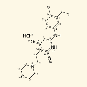 CCc1cc(Nc2cc(=O)n(CCN3CCOCC3)c(=O)[nH]2)ccc1C.Cl